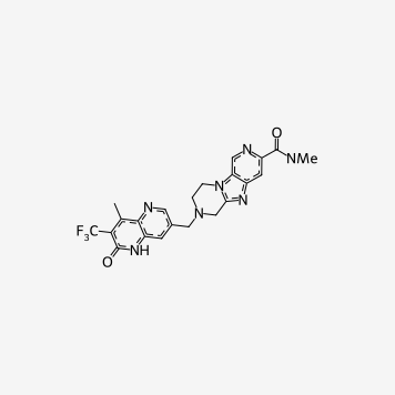 CNC(=O)c1cc2nc3n(c2cn1)CCN(Cc1cnc2c(C)c(C(F)(F)F)c(=O)[nH]c2c1)C3